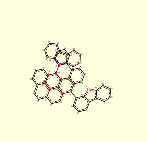 c1ccc(-c2ccccc2-n2c3ccccc3c3ccccc32)c(-c2ccccc2N(c2ccc(-c3cccc4c3oc3ccccc34)cc2)c2cccc3ccc4ccccc4c23)c1